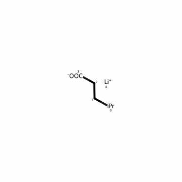 CC(C)CCC(=O)[O-].[Li+]